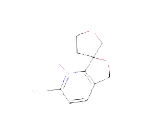 COc1ccc2c([n+]1[O-])C1(CCOC1)OC2